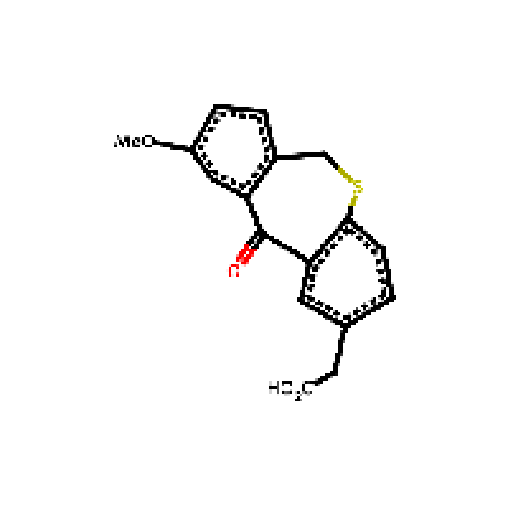 COc1ccc2c(c1)C(=O)c1cc(CC(=O)O)ccc1SC2